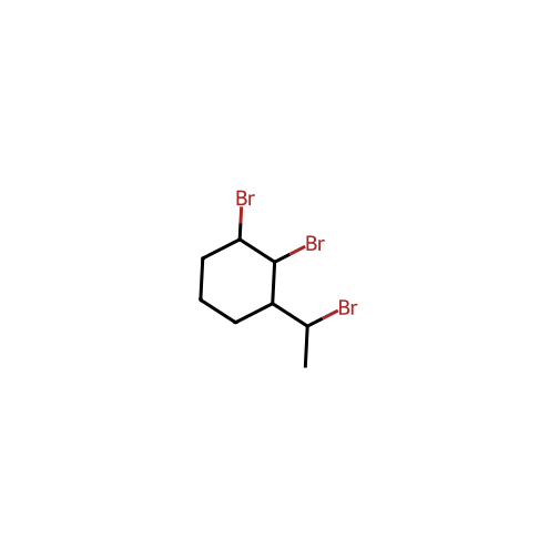 CC(Br)C1CCCC(Br)C1Br